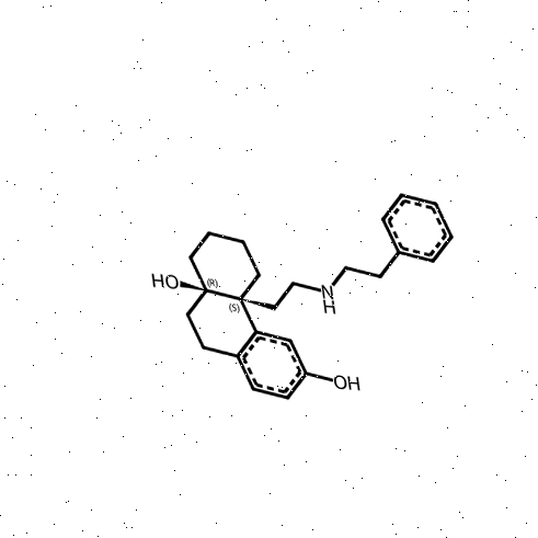 Oc1ccc2c(c1)[C@@]1(CCNCCc3ccccc3)CCCC[C@@]1(O)CC2